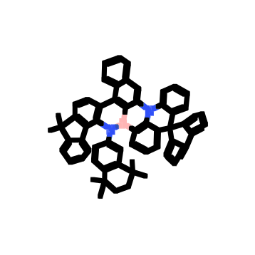 CC1(C)CCC(C)(C)c2cc(N3B4c5cccc6c5N(c5ccccc5C65c6ccccc6-c6ccccc65)c5cc6ccccc6c(c54)-c4ccc5c(c43)-c3ccccc3C5(C)C)ccc21